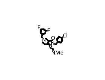 CNCCn1c2c(c(=O)n1Cc1ccc(Cl)cc1)CN(Cc1cc(F)cc(F)c1)CC2